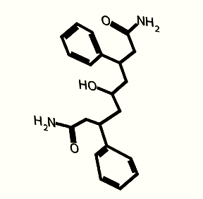 NC(=O)CC(CC(O)CC(CC(N)=O)c1ccccc1)c1ccccc1